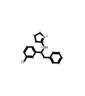 Clc1cccc(C(Cc2ccccc2)NC2=NCCC2)c1